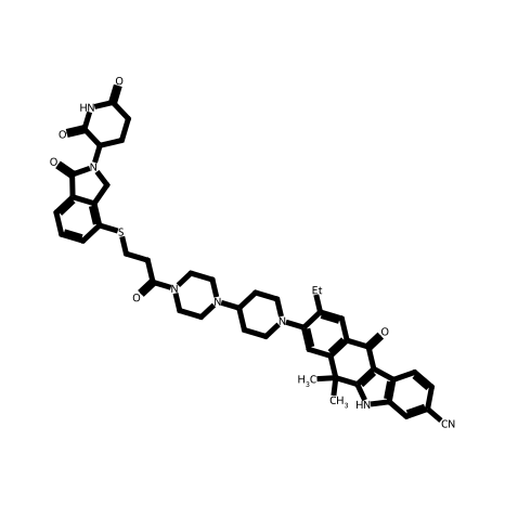 CCc1cc2c(cc1N1CCC(N3CCN(C(=O)CCSc4cccc5c4CN(C4CCC(=O)NC4=O)C5=O)CC3)CC1)C(C)(C)c1[nH]c3cc(C#N)ccc3c1C2=O